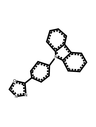 c1ccc2c(c1)c1ccccc1n2-c1ccc(-c2nnco2)cc1